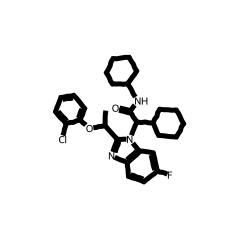 CC(Oc1ccccc1Cl)c1nc2ccc(F)cc2n1C(C(=O)NC1CCCCC1)C1CCCCC1